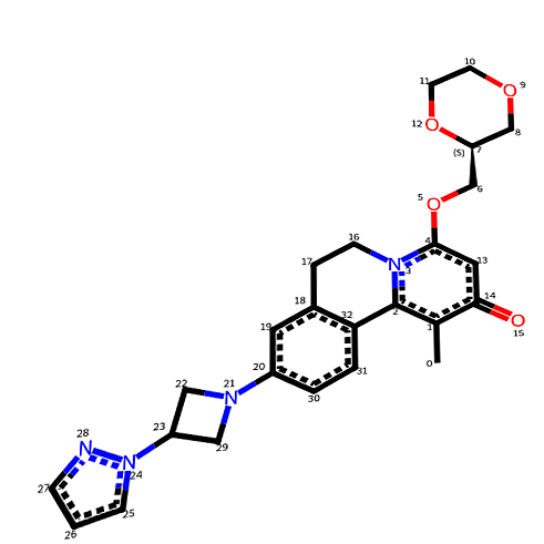 Cc1c2n(c(OC[C@@H]3COCCO3)cc1=O)CCc1cc(N3CC(n4cccn4)C3)ccc1-2